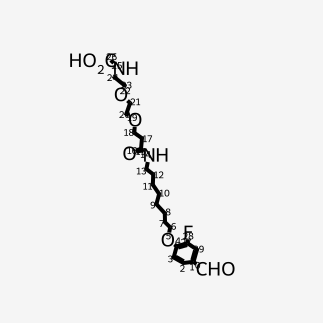 O=Cc1ccc(OCCCCCCCCNC(=O)CCOCCOCCNC(=O)O)c(F)c1